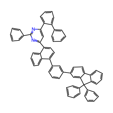 c1ccc(-c2nc(-c3ccccc3-c3ccccc3)cc(-c3ccc(-c4cccc(-c5ccc6c(c5)C(c5ccccc5)(c5ccccc5)c5ccccc5-6)c4)c4ccccc34)n2)cc1